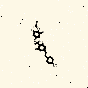 CCC1CCC(CCc2cc(F)c(C(F)(F)Oc3cc(F)c(OC(F)F)c(F)c3)c(F)c2)CC1